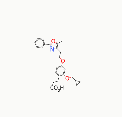 Cc1oc(-c2ccccc2)nc1CCOc1ccc(CCC(=O)O)c(OCC2CC2)c1